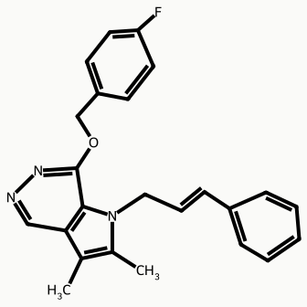 Cc1c(C)n(CC=Cc2ccccc2)c2c(OCc3ccc(F)cc3)nncc12